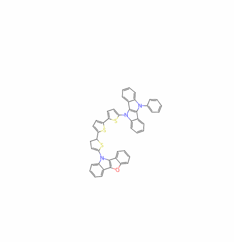 C1=C(n2c3ccccc3c3oc4ccccc4c32)SC(c2ccc(-c3ccc(-n4c5ccccc5c5c4c4ccccc4n5-c4ccccc4)s3)s2)C1